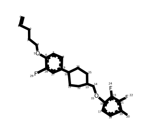 C=CCCCOc1ccc(C2CCC(COc3ccc(C)c(F)c3F)CC2)cc1F